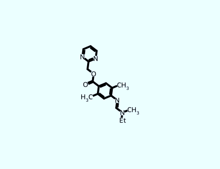 CCN(C)/C=N/c1cc(C)c(C(=O)OCc2ncccn2)cc1C